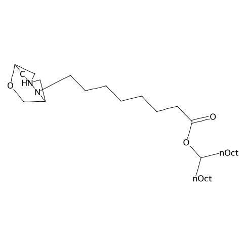 CCCCCCCCC(CCCCCCCC)OC(=O)CCCCCCCN1CC2CNCC1CO2